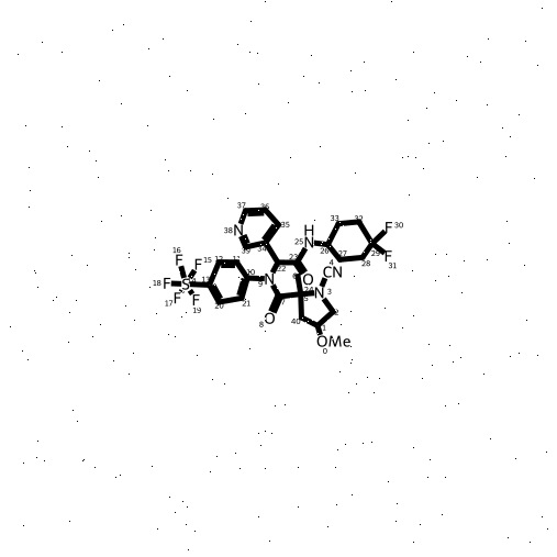 COC1CN(C#N)C(C)(C(=O)N(c2ccc(S(F)(F)(F)(F)F)cc2)C(C(=O)NC2CCC(F)(F)CC2)c2cccnc2)C1